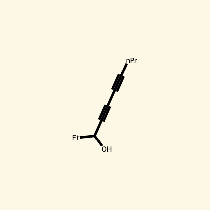 CCCC#CC#CC(O)CC